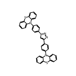 c1ccc2c(c1)Sc1ccccc1N2c1ccc(-c2cn(-c3ccc(N4c5ccccc5Sc5ccccc54)cc3)nn2)cc1